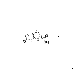 O=C(Cl)Cc1cccc([N+](=O)O)c1